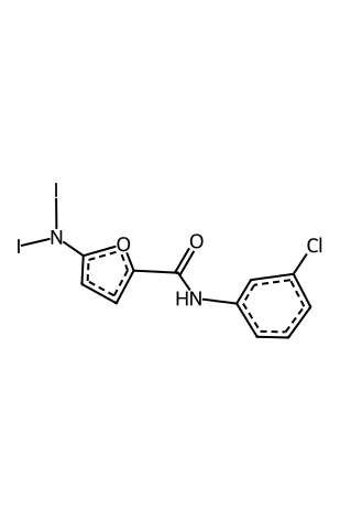 O=C(Nc1cccc(Cl)c1)c1ccc(N(I)I)o1